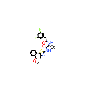 CC[C@H](NC(=O)Cc1cc(F)cc(F)c1)C(=O)Nc1nc(C)c(-c2ccccc2COC(C)C)s1